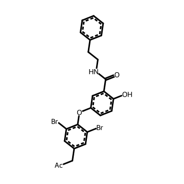 CC(=O)Cc1cc(Br)c(Oc2ccc(O)c(C(=O)NCCc3ccccc3)c2)c(Br)c1